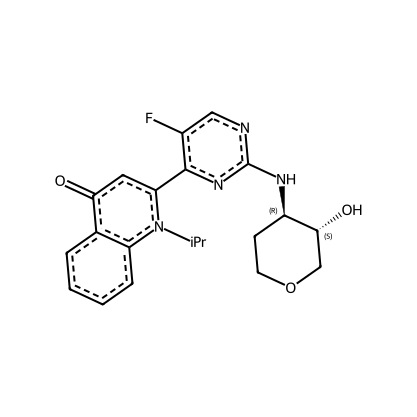 CC(C)n1c(-c2nc(N[C@@H]3CCOC[C@H]3O)ncc2F)cc(=O)c2ccccc21